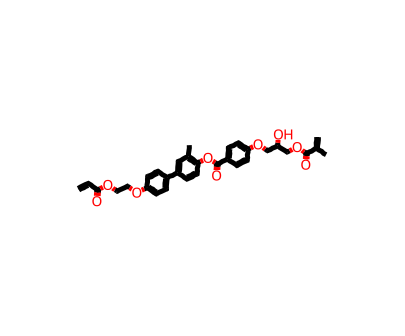 C=CC(=O)OCCOc1ccc(-c2ccc(OC(=O)c3ccc(OCC(O)COC(=O)C(=C)C)cc3)c(C)c2)cc1